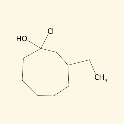 CCC1CCCCCC(O)(Cl)C1